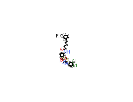 O=C(CCCCCc1cccc(C(F)(F)F)c1)Nc1cccc(S(=O)(=O)NC(=S)Nc2ccc(Cl)c(Cl)c2)c1